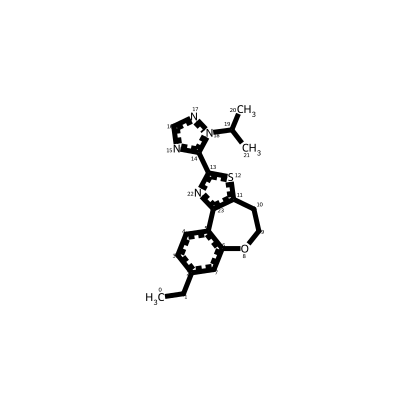 CCc1ccc2c(c1)OCCc1sc(-c3ncnn3C(C)C)nc1-2